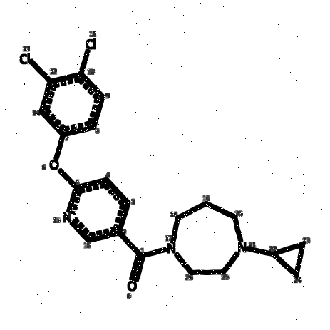 O=C(c1ccc(Oc2ccc(Cl)c(Cl)c2)nc1)N1CCCN(C2CC2)CC1